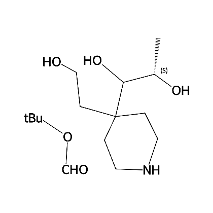 CC(C)(C)OC=O.C[C@H](O)C(O)C1(CCO)CCNCC1